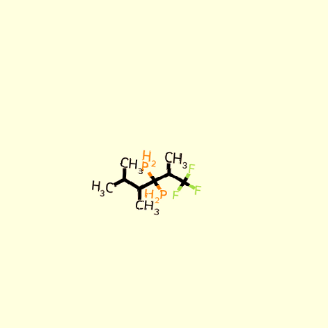 CC(C)C(C)C(P)(P)C(C)C(F)(F)F